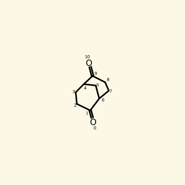 O=C1CCC2CC1CCC2=O